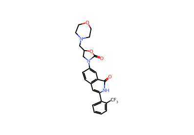 O=C1OC(CN2CCOCC2)CN1c1ccc2cc(-c3ccccc3C(F)(F)F)[nH]c(=O)c2c1